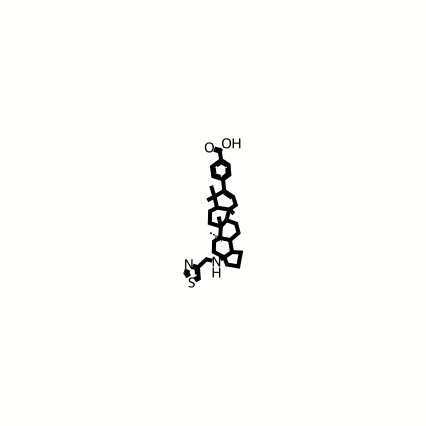 CC1(C)C(c2ccc(C(=O)O)cc2)=CCC2(C)C1CCC1(C)C2CCC2C3CCCC3(NCc3cscn3)CC[C@]21C